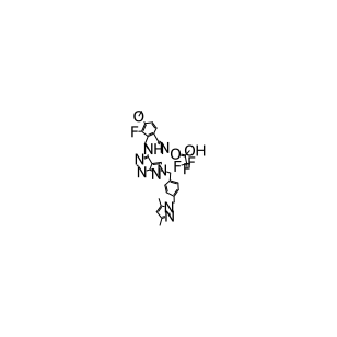 COc1ccc(C#N)c(CNc2ncnc3nn(Cc4ccc(Cn5nc(C)cc5C)cc4)cc23)c1F.O=C(O)C(F)(F)F